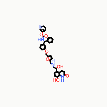 O=C(N[C@@H](c1ccccc1)c1cccc(OCc2ccc(CNCC(O)c3ccc(O)c4[nH]c(=O)ccc34)o2)c1)OC1CN2CCC1CC2